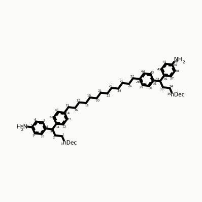 CCCCCCCCCCCCC(c1ccc(N)cc1)c1ccc(CCCCCCCCCCCCCc2ccc(C(CCCCCCCCCCCC)c3ccc(N)cc3)cc2)cc1